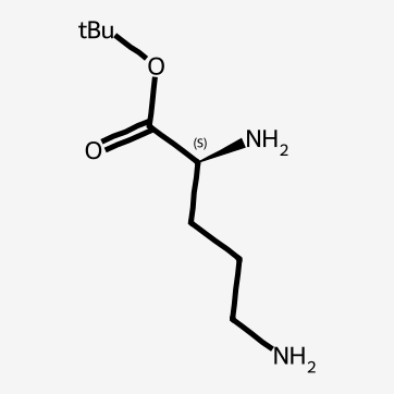 CC(C)(C)OC(=O)[C@@H](N)CCCN